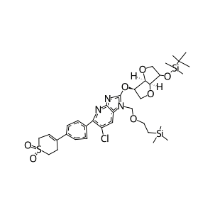 CC(C)(C)[Si](C)(C)OC1CO[C@H]2[C@@H]1OC[C@H]2Oc1nc2nc(-c3ccc(C4=CCS(=O)(=O)CC4)cc3)c(Cl)cc2n1COCC[Si](C)(C)C